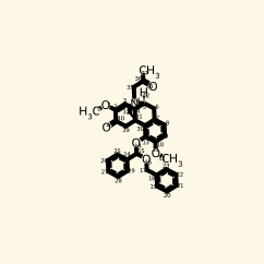 COC1=CC2[C@@H]3Cc4ccc(OC)c(OC(OCc5ccccc5)c5ccccc5)c4[C@]2(CCN3CC(C)=O)CC1=O